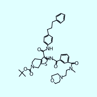 CN(CCN1CCOCC1)C(=O)c1cccc(C(=O)Nc2sc3c(c2C(=O)Nc2ccc(CCCc4ccccc4)cc2)CCN(C(=O)OC(C)(C)C)C3)c1